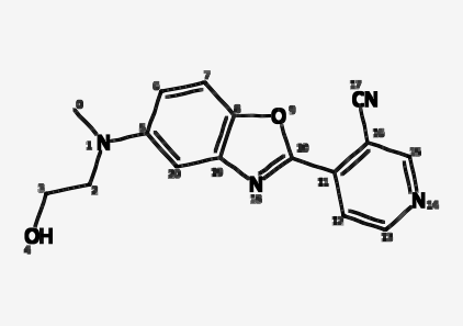 CN(CCO)c1ccc2oc(-c3ccncc3C#N)nc2c1